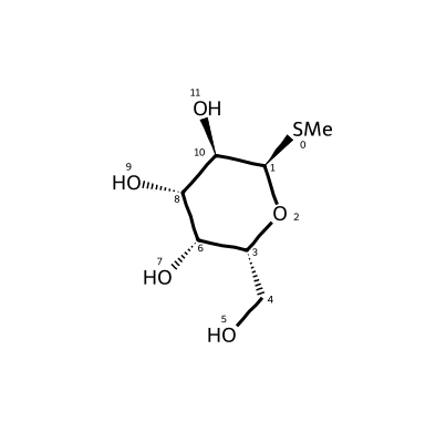 CS[C@H]1O[C@H](CO)[C@H](O)[C@H](O)[C@H]1O